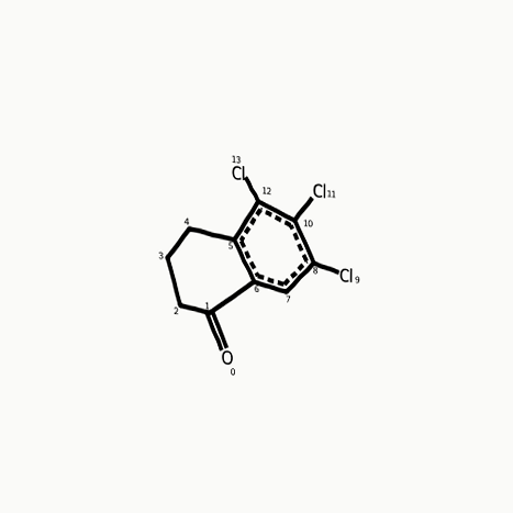 O=C1CCCc2c1cc(Cl)c(Cl)c2Cl